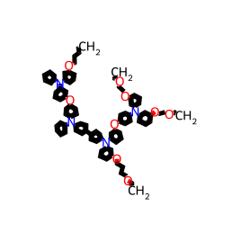 C=CCCCOc1cccc(N(c2ccccc2)c2cccc(Oc3ccc(N(c4ccccc4)c4ccc(-c5ccc(N(c6cccc(OCCCCOC=C)c6)c6cccc(Oc7ccc(N(c8cccc(OCCOC=C)c8)c8cccc(OCCOC=C)c8)cc7)c6)cc5)cc4)cc3)c2)c1